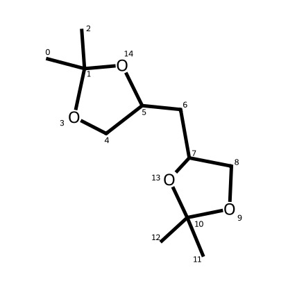 CC1(C)OCC(CC2COC(C)(C)O2)O1